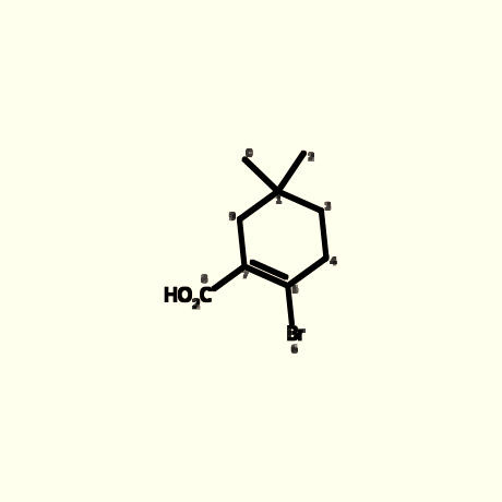 CC1(C)CCC(Br)=C(C(=O)O)C1